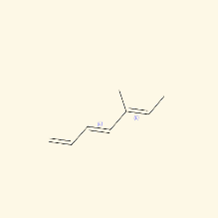 C=C/C=C/C(C)=C/C